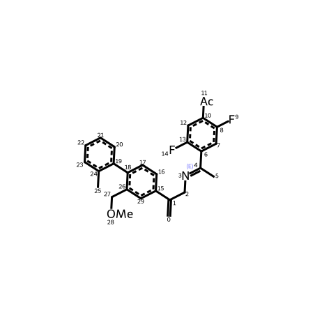 C=C(C/N=C(\C)c1cc(F)c(C(C)=O)cc1F)c1ccc(-c2ccccc2C)c(COC)c1